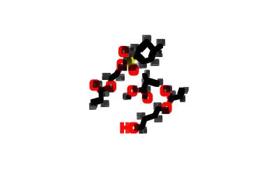 C=C(C)C(=O)OC.C=CC(=O)OCCCCO.C=CC(=O)OCCOS(=O)(=O)c1ccc(C)cc1